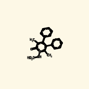 Cc1c(-c2ccccc2)c(-c2ccccc2)c(C)n(NC(=O)O)c1=O